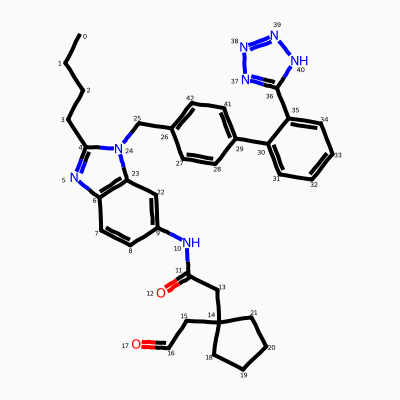 CCCCc1nc2ccc(NC(=O)CC3(CC=O)CCCC3)cc2n1Cc1ccc(-c2ccccc2-c2nnn[nH]2)cc1